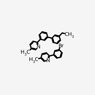 CCc1cccc(-c2cccc(-c3ccc(C)cn3)c2)c1.Cc1ccc(-c2cccc(Br)c2)nc1